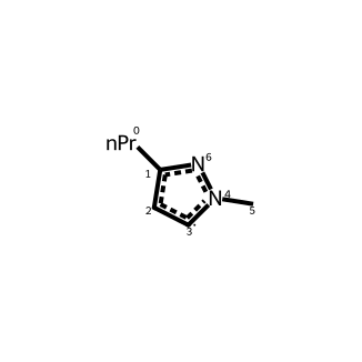 CCCc1c[c]n(C)n1